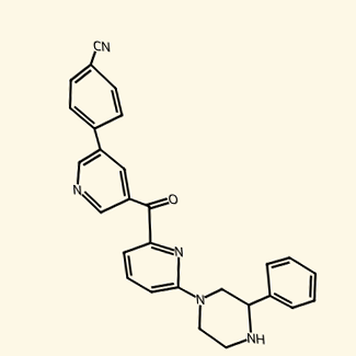 N#Cc1ccc(-c2cncc(C(=O)c3cccc(N4CCNC(c5ccccc5)C4)n3)c2)cc1